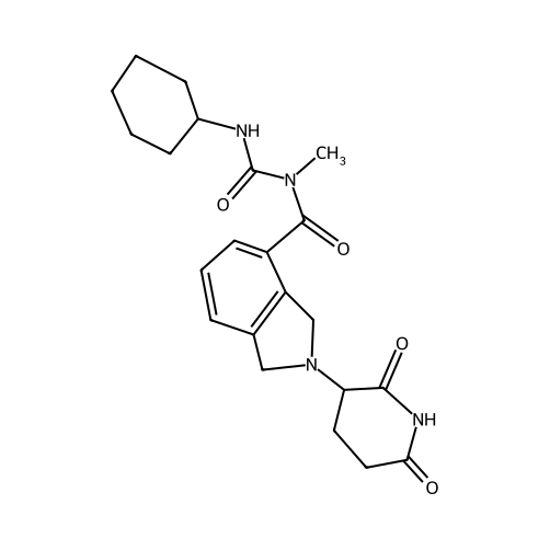 CN(C(=O)NC1CCCCC1)C(=O)c1cccc2c1CN(C1CCC(=O)NC1=O)C2